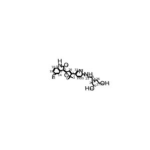 CC1(C)O/C(=C2/C(=O)Nc3ccc(F)cc32)C=C1c1ccc(NCCN(CCO)CCO)nc1